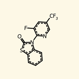 O=c1sc2ccccc2n1-c1ncc(C(F)(F)F)cc1F